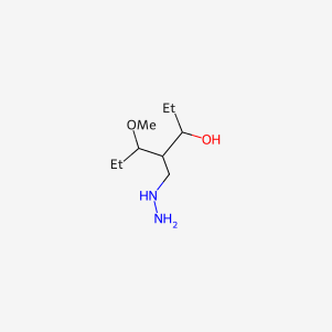 CCC(O)C(CNN)C(CC)OC